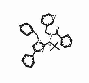 CC(C)(C)[C@H](c1nc(-c2ccccc2)cn1Cc1ccccc1)N(Cc1cccnc1)C(=O)c1ccccc1